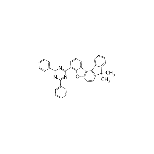 CC1(C)c2ccccc2-c2c1ccc1oc3c(-c4nc(-c5ccccc5)nc(-c5ccccc5)n4)cccc3c21